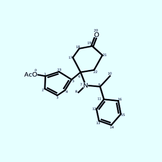 CC(=O)Oc1cccc(C2(N(C)C(C)c3ccccc3)CCC(=O)CC2)c1